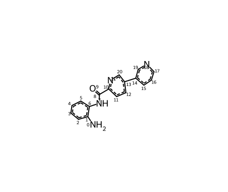 Nc1ccccc1NC(=O)c1ccc(-c2cccnc2)cn1